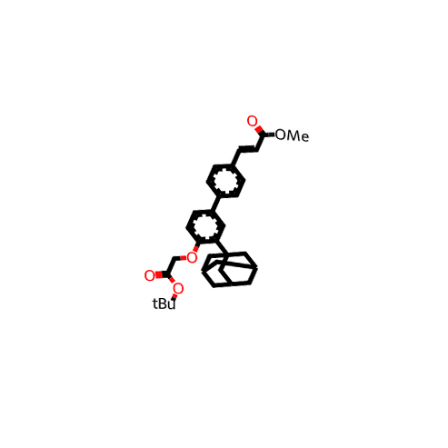 COC(=O)C=Cc1ccc(-c2ccc(OCC(=O)OC(C)(C)C)c(C34CC5CC(CC(C5)C3)C4)c2)cc1